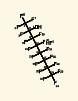 F.OC(F)(C(F)(F)F)C(F)(F)C(F)(F)C(F)(F)C(F)(F)C(F)(F)C(F)(F)F